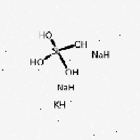 O[Si](O)(O)O.[KH].[NaH].[NaH]